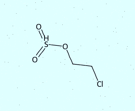 O=[SH](=O)OCCCl